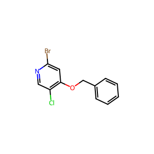 Clc1cnc(Br)cc1OCc1ccccc1